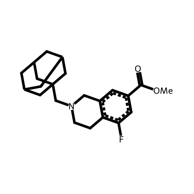 COC(=O)c1cc(F)c2c(c1)CN(CC13CC4CC(CC(C4)C1)C3)CC2